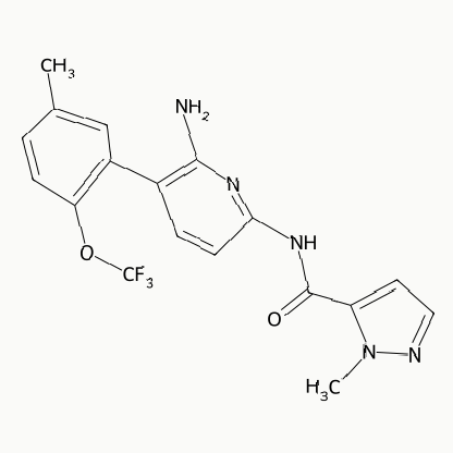 Cc1ccc(OC(F)(F)F)c(-c2ccc(NC(=O)c3ccnn3C)nc2N)c1